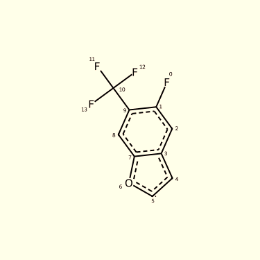 Fc1cc2c[c]oc2cc1C(F)(F)F